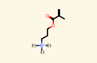 C=C(C)C(=O)OCCC[N+](CC)(CC)CC